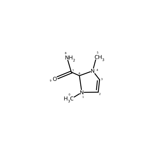 CN1C=CN(C)C1C(N)=O